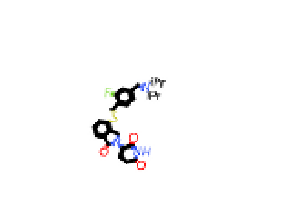 CC(C)N(Cc1ccc(CSc2cccc3c2CN(C2CCC(=O)NC2=O)C3=O)c(F)c1)C(C)C